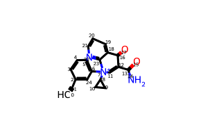 C#Cc1cccc([N+]2(C3CC3)C=C(C(N)=O)C(=O)c3cccnc32)c1